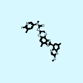 COc1cnc2c(-c3nc4c(C)cc5c(c4s3)OCC(OC(=O)N(C)c3cnc(F)c(C)c3)O5)cc(C)cc2n1